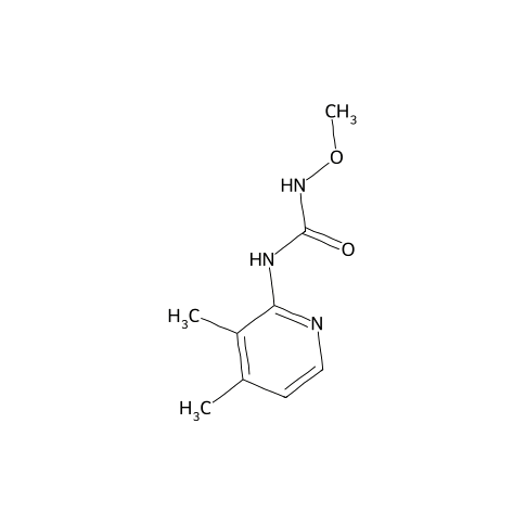 CONC(=O)Nc1nccc(C)c1C